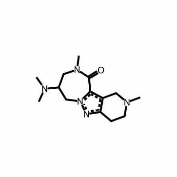 CN1CCc2nn3c(c2C1)C(=O)N(C)CC(N(C)C)C3